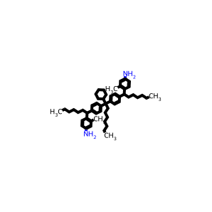 CCCCCCCC(c1ccc(C(CCCCCC)c2ccc(N)cc2C)cc1)(c1ccc(C(CCCCCC)c2ccc(N)cc2C)cc1)C1CCCCC1